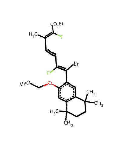 CCOC(=O)C(F)=C(C)C=CC(F)=C(CC)c1cc2c(cc1OCOC)C(C)(C)CCC2(C)C